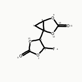 O=C1OC(F)C(C23CC2OC(=O)O3)O1